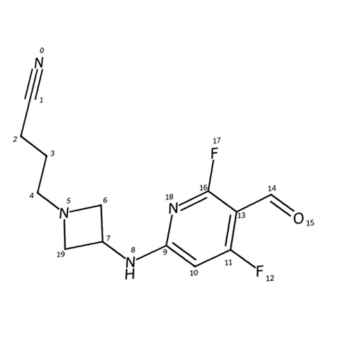 N#CCCCN1CC(Nc2cc(F)c(C=O)c(F)n2)C1